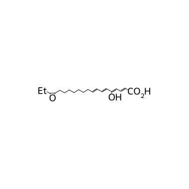 CCC1OC1CCCCCCCC=CC=CC(O)=CC=CC(=O)O